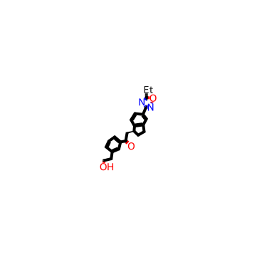 CCc1nc(-c2ccc3c(c2)CC[C@H]3CC(=O)c2cccc(CCO)c2)no1